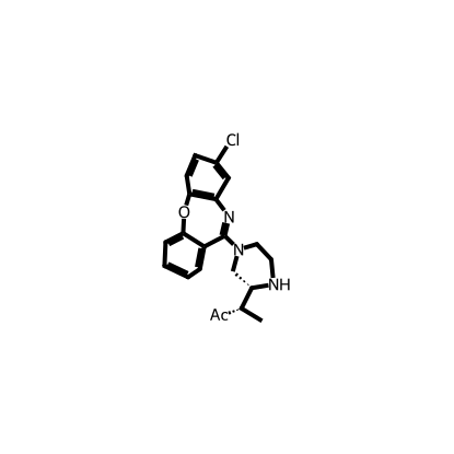 CC(=O)[C@@H](C)[C@@H]1CN(C2=Nc3cc(Cl)ccc3Oc3ccccc32)CCN1